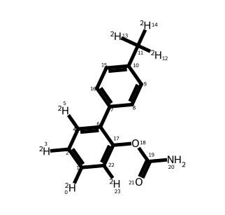 [2H]c1c([2H])c([2H])c(-c2ccc(C([2H])([2H])[2H])cc2)c(OC(N)=O)c1[2H]